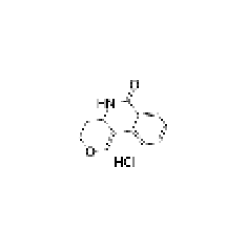 Cl.O=C1NC2CCOC=C2c2ccccc21